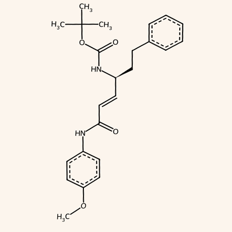 COc1ccc(NC(=O)/C=C/[C@H](CCc2ccccc2)NC(=O)OC(C)(C)C)cc1